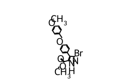 CCOC(=O)c1[nH]nc(Br)c1-c1ccc(OCc2ccc(OC)cc2)cc1